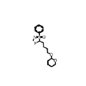 CN=S(=O)(c1ccccc1)C(F)CCCCOC1CCCCO1